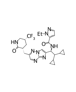 CCn1nccc1C(=O)N[C@H](c1cn2nc(C[C@H]3C[C@@H](C(F)(F)F)CNC3=O)cnc2n1)C(C1CC1)C1CC1